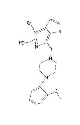 COc1ccccc1N1CCN(Cc2nc(O)c(Br)c3ccsc23)CC1